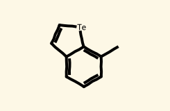 Cc1cccc2cc[te]c12